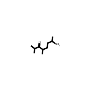 CC(N)CCC(C)C(=O)C(C)C